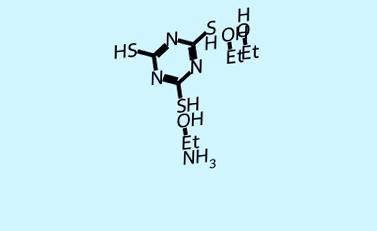 CCO.CCO.CCO.N.Sc1nc(S)nc(S)n1